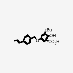 C/C=C/c1ccc(COc2cc(C(=O)O)c(O)c(C(C)(C)C)c2)cc1